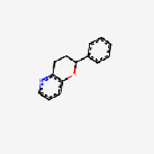 c1ccc(C2CCc3ncccc3O2)cc1